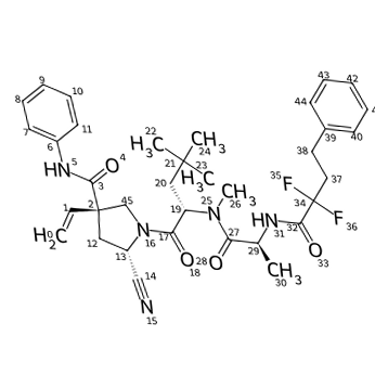 C=C[C@]1(C(=O)Nc2ccccc2)C[C@@H](C#N)N(C(=O)[C@H](CC(C)(C)C)N(C)C(=O)[C@H](C)NC(=O)C(F)(F)CCc2ccccc2)C1